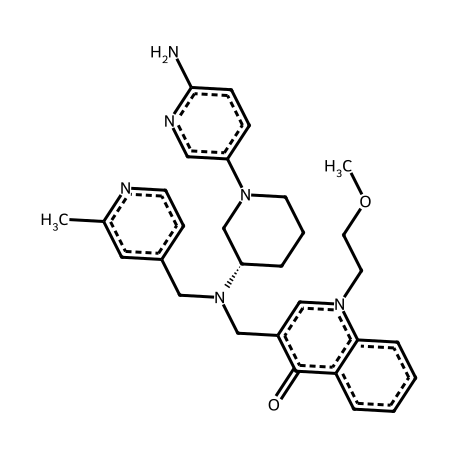 COCCn1cc(CN(Cc2ccnc(C)c2)[C@H]2CCCN(c3ccc(N)nc3)C2)c(=O)c2ccccc21